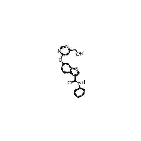 O=C(Nc1ccccc1)c1csc2cc(Oc3cc(CO)ncn3)ccc12